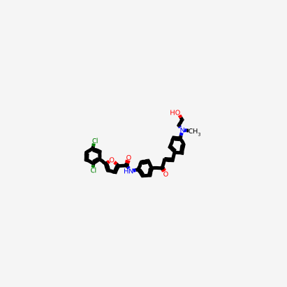 CN(CCO)c1ccc(/C=C/C(=O)c2ccc(NC(=O)c3ccc(-c4cc(Cl)ccc4Cl)o3)cc2)cc1